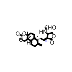 C=C1CC[C@H]2[C@@](C)(CC[C@@]3(C)OS(=O)OC[C@@]23C)[C@@H]1C/C=C1/C(=O)OCC1NC=O